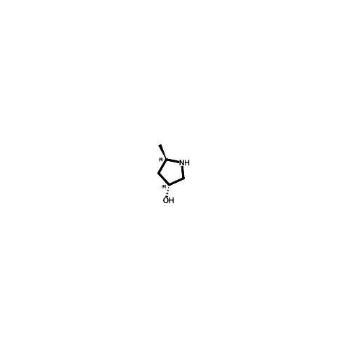 C[C@@H]1C[C@@H](O)CN1